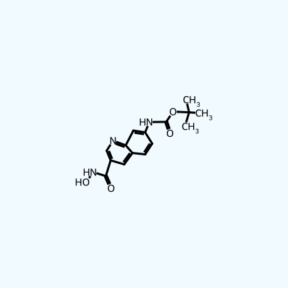 CC(C)(C)OC(=O)Nc1ccc2cc(C(=O)NO)cnc2c1